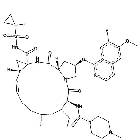 CC[C@@H]1C[C@H](C)CC/C=C\[C@@H]2C[C@@]2(C(=O)NS(=O)(=O)C2(C)CC2)NC(=O)[C@@H]2C[C@@H](Oc3nccc4cc(OC)c(F)cc34)CN2C(=O)[C@H]1NC(=O)N1CCN(C)CC1